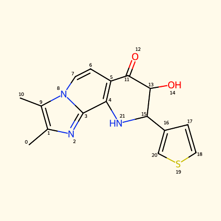 Cc1nc2c3c(ccn2c1C)C(=O)C(O)C(c1ccsc1)N3